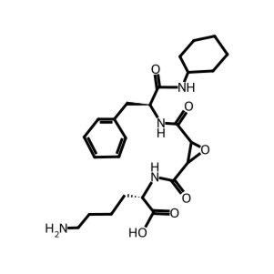 NCCCC[C@H](NC(=O)C1OC1C(=O)N[C@@H](Cc1ccccc1)C(=O)NC1CCCCC1)C(=O)O